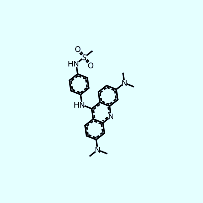 CN(C)c1ccc2c(Nc3ccc(NS(C)(=O)=O)cc3)c3ccc(N(C)C)cc3nc2c1